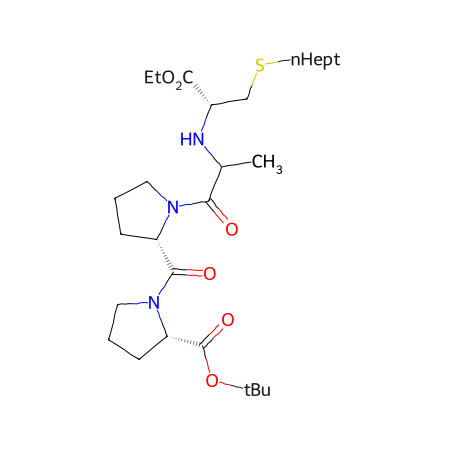 CCCCCCCSC[C@H](NC(C)C(=O)N1CCC[C@H]1C(=O)N1CCC[C@H]1C(=O)OC(C)(C)C)C(=O)OCC